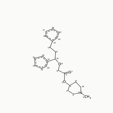 CN1CCC(OC(=O)COC(CCc2ccccc2)c2ccccc2)CC1